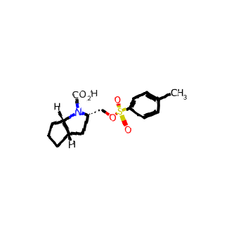 Cc1ccc(S(=O)(=O)OC[C@@H]2C[C@@H]3CCC[C@@H]3N2C(=O)O)cc1